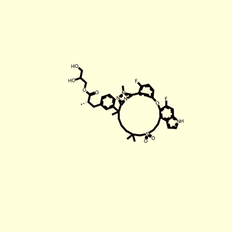 C[C@@H](Cc1cccc(C2(C)CCCC(C)(C)CS(=O)(=O)CCc3c(c(F)cc4[nH]ccc34)Oc3ccc(F)c(c3)-c3nc2nn3C)c1)C(=O)OCC(O)CO